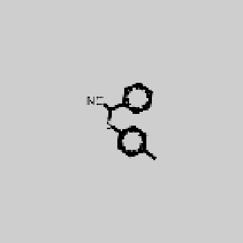 Cc1ccc(SC(C#N)c2ccccc2)cc1